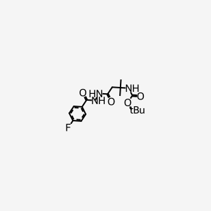 CC(C)(CC(=O)NNC(=O)c1ccc(F)cc1)NC(=O)OC(C)(C)C